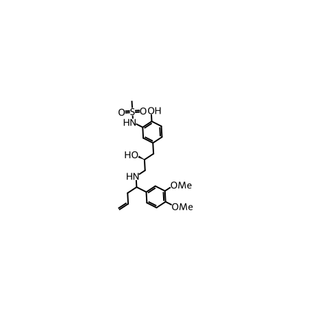 C=CCC(NC[C@@H](O)Cc1ccc(O)c(NS(C)(=O)=O)c1)c1ccc(OC)c(OC)c1